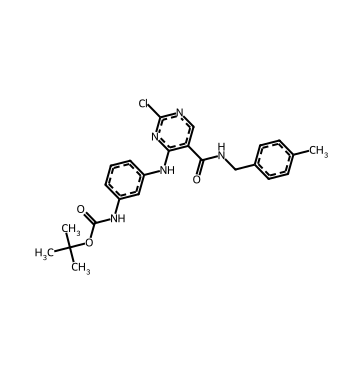 Cc1ccc(CNC(=O)c2cnc(Cl)nc2Nc2cccc(NC(=O)OC(C)(C)C)c2)cc1